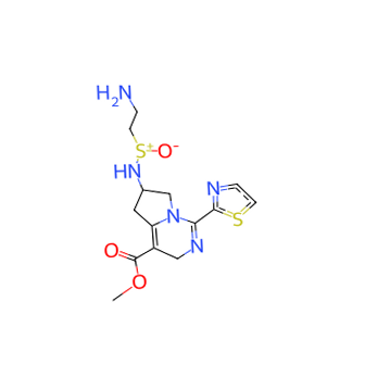 COC(=O)C1=C2CC(N[S+]([O-])CCN)CN2C(c2nccs2)=NC1